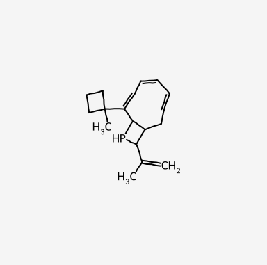 C=C(C)C1PC2/C(C3(C)CCC3)=C/C=C\C=C\CC12